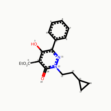 CCOC(=O)c1c(O)c(-c2ccccc2)nn(CCC2CC2)c1=O